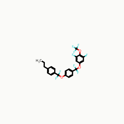 CCCc1ccc(C(F)(F)Oc2ccc(C(F)(F)Oc3cc(F)c(OC(F)(F)F)c(F)c3)cc2)cc1